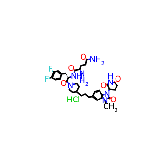 Cl.Cn1c(=O)n(C2CCC(=O)NC2=O)c2ccc(CCCC3CCN(C(=O)[C@H](Cc4ccc(F)c(F)c4)NC(=O)[C@@H](N)CCC(N)=O)CC3)cc21